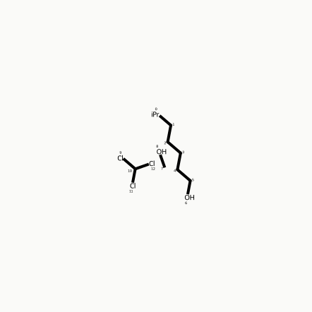 CC(C)CCCCCO.CO.ClC(Cl)Cl